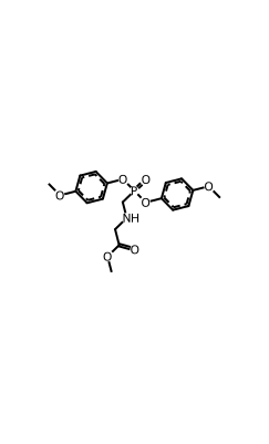 COC(=O)CNCP(=O)(Oc1ccc(OC)cc1)Oc1ccc(OC)cc1